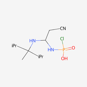 CC(C)C(C)(NC(CC#N)NP(=O)(O)Cl)C(C)C